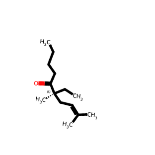 CCCCC(=O)[C@@](C)(CC)CC=C(C)C